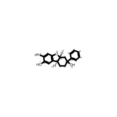 CCCc1cc2c(cc1O)[C@@H]1CCC(O)(c3ccccc3)C[C@H]1O2